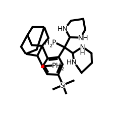 C[Si](C)(C)c1ccc(C23CC4CC(CC(C4)C2CP)C3)c(C(P)(C2NCCCN2)C2NCCCN2)c1